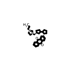 C=CCN1CCN(C[C@H]2CCC(C3CCC[C@@H]3c3ccc4c(c3)C(=O)c3ccccc3C4=O)C2)C1